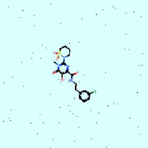 Cn1c(N2CCCCS2(=O)=O)nc(C(=O)NCCc2cccc(Cl)c2)c(O)c1=O